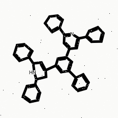 C1=CC(c2cc(-c3cc(C4=CC(c5ccccc5)NC(c5ccccc5)C4)cc(-c4ccccc4)c3)cc(-c3ccccc3)n2)=CCC1